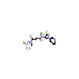 CCN(C(=O)CCC(=O)N(C)CC(F)(F)F)c1cn(-c2cccnc2)nc1Cl